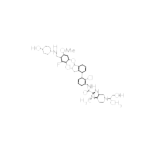 COc1cc(OC2CCc3c(-c4cccc(NC(=O)c5nc6c(n5C)CCN(C(C)CO)C6)c4Cl)cccc32)c(Cl)c(F)c1CN[C@H]1CC[C@H](O)CC1